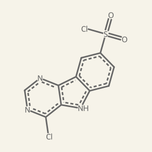 O=S(=O)(Cl)c1ccc2[nH]c3c(Cl)ncnc3c2c1